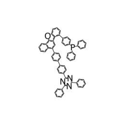 c1ccc(-c2nc(-c3ccccc3)nc(-c3ccc(-c4ccc(-c5cc6c(oc7cccc(-c8ccc(P(c9ccccc9)c9ccccc9)cc8)c76)c6ccccc56)cc4)cc3)n2)cc1